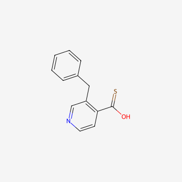 OC(=S)c1ccncc1Cc1ccccc1